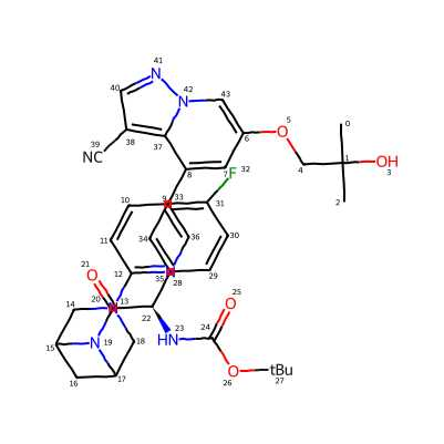 CC(C)(O)COc1cc(-c2ccc(N3CC4CC(C3)N4C(=O)[C@H](NC(=O)OC(C)(C)C)c3ccc(F)cc3)nc2)c2c(C#N)cnn2c1